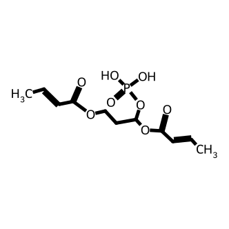 CC=CC(=O)OCCC(OC(=O)C=CC)OP(=O)(O)O